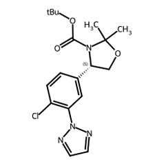 CC(C)(C)OC(=O)N1[C@@H](c2ccc(Cl)c(-n3nccn3)c2)COC1(C)C